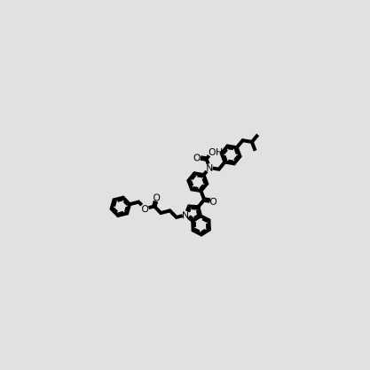 CC(C)Cc1ccc(CN(C(=O)O)c2cccc(C(=O)c3cn(CCCC(=O)OCc4ccccc4)c4ccccc34)c2)cc1